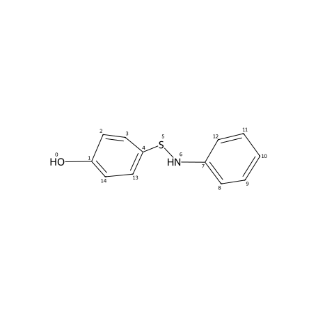 Oc1ccc(SNc2ccccc2)cc1